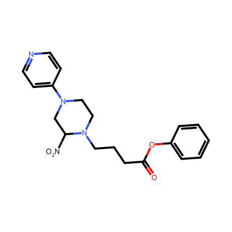 O=C(CCCN1CCN(c2ccncc2)CC1[N+](=O)[O-])Oc1ccccc1